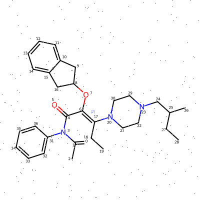 C=C(C)N(C(=O)/C(OC1Cc2ccccc2C1)=C(\CC)N1CCN(CC(C)CC)CC1)c1ccccc1